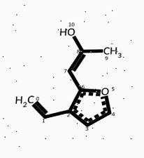 C=Cc1ccoc1/C=C(\C)O